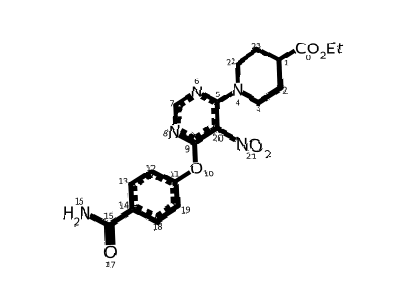 CCOC(=O)C1CCN(c2ncnc(Oc3ccc(C(N)=O)cc3)c2[N+](=O)[O-])CC1